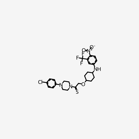 O=[N+]([O-])c1ccc(NC2CCC(OCC(=S)N3CCN(c4ccc(Cl)cc4)CC3)CC2)cc1C(F)(F)F